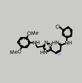 COc1ccc(OC)c(NCc2nnc(/C=C\C(=N)Nc3cccc(Cl)c3)[nH]2)c1